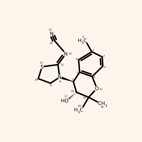 Cc1ccc2c(c1)[C@H](N1CCSC1=NC#N)[C@@H](O)C(C)(C)O2